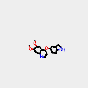 COc1cc2nccc(Oc3ccc4[nH]ccc4c3)c2cc1OC